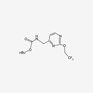 CCCCOC(=O)NCc1ccnc(OCC(F)(F)F)n1